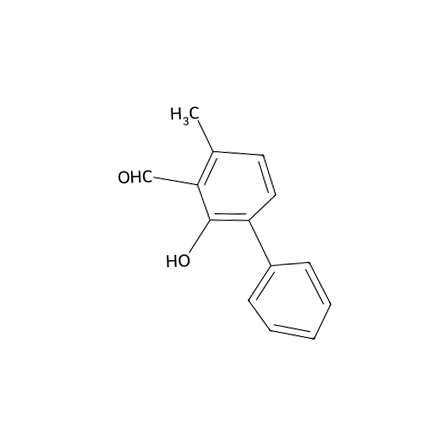 Cc1ccc(-c2ccccc2)c(O)c1C=O